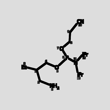 CCC(CN)COP(OCCC#N)N(C(C)C)C(C)C